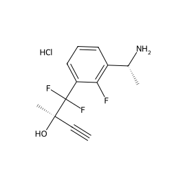 C#C[C@@](C)(O)C(F)(F)c1cccc([C@@H](C)N)c1F.Cl